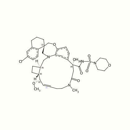 CO[C@H]1/C=C/CCN(C)C(=O)C[C@](O)(C(=O)NS(=O)(=O)N2CCOCC2)c2ccc3c(c2)N(C[C@@H]2CC[C@H]21)C[C@@]1(CCCc2cc(Cl)ccc21)CO3